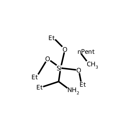 CCCCCC.CCO[Si](OCC)(OCC)C(N)CC